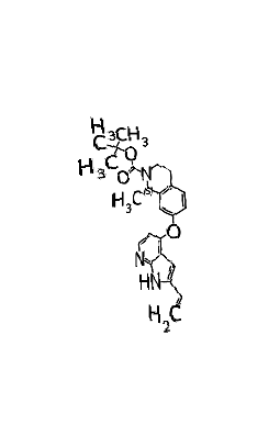 C=Cc1cc2c(Oc3ccc4c(c3)[C@H](C)N(C(=O)OC(C)(C)C)CC4)ccnc2[nH]1